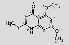 CCc1cc(=O)c2c(OC)cc(OC)cc2[nH]1